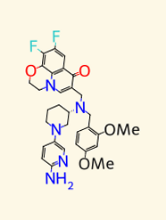 COc1ccc(CN(Cc2cn3c4c(c(F)c(F)cc4c2=O)OCC3)[C@H]2CCCN(c3ccc(N)nc3)C2)c(OC)c1